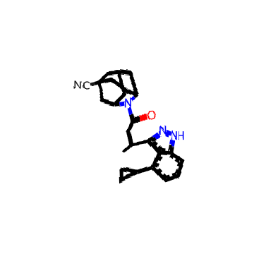 CC(CC(=O)N1C2CC3CC1CC(C#N)(C3)C2)c1n[nH]c2cccc(C3CC3)c12